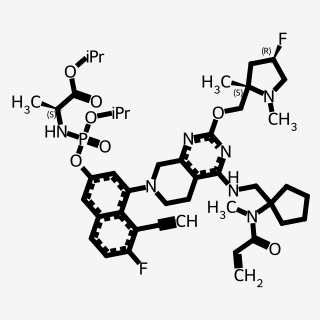 C#Cc1c(F)ccc2cc(OP(=O)(N[C@@H](C)C(=O)OC(C)C)OC(C)C)cc(N3CCc4c(nc(OC[C@]5(C)C[C@@H](F)CN5C)nc4NCC4(N(C)C(=O)C=C)CCCC4)C3)c12